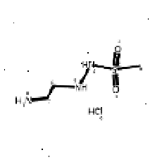 CS(=O)(=O)NNCCN.Cl